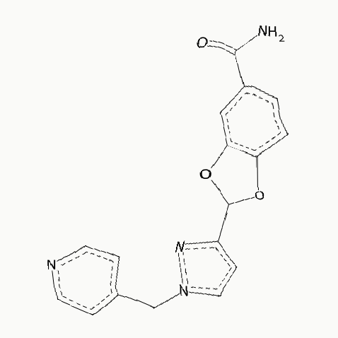 NC(=O)c1ccc2c(c1)OC(c1ccn(Cc3ccncc3)n1)O2